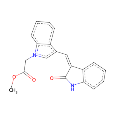 COC(=O)Cn1cc(/C=C2\C(=O)Nc3ccccc32)c2ccccc21